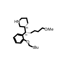 COCCCC[C@H](c1ccccc1OCC(C)(C)C)[C@H]1CCCNC1